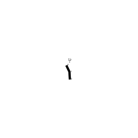 C=C=C.[Li]